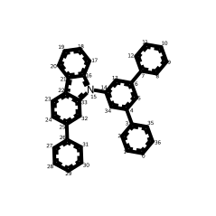 c1ccc(-c2cc(-c3ccccc3)cc(-n3c4ccccc4c4ccc(-c5ccccc5)cc43)c2)cc1